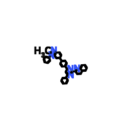 Cc1nc2ccc(-c3ccc(-c4cc(-c5ccccc5)nc(-c5ccc6ccccc6n5)n4)cc3)cc2n1-c1ccccc1